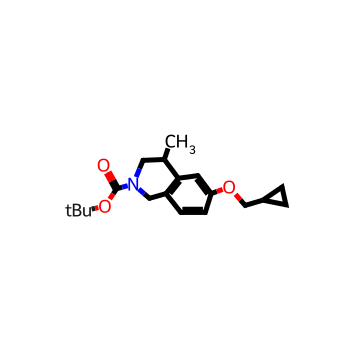 CC1CN(C(=O)OC(C)(C)C)Cc2ccc(OCC3CC3)cc21